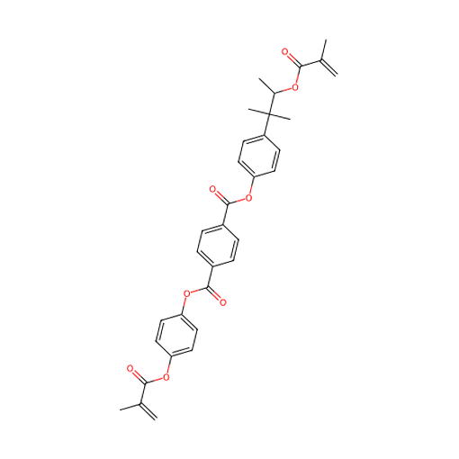 C=C(C)C(=O)Oc1ccc(OC(=O)c2ccc(C(=O)Oc3ccc(C(C)(C)C(C)OC(=O)C(=C)C)cc3)cc2)cc1